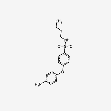 CCCCNS(=O)(=O)c1ccc(Oc2ccc(N)cc2)cc1